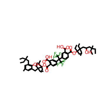 CCC(C)(CC)Cc1cc(C)cc(CC(CC)(CC)C(CC)(CC)OC(=O)c2ccc(C(c3ccc(C(=O)OC(CC)(CC)C(CC)(CC)CC(O)CC(C)(CC)CC)c(C(=O)O)c3)(C(F)(F)F)C(F)(F)F)cc2C(=O)O)c1O